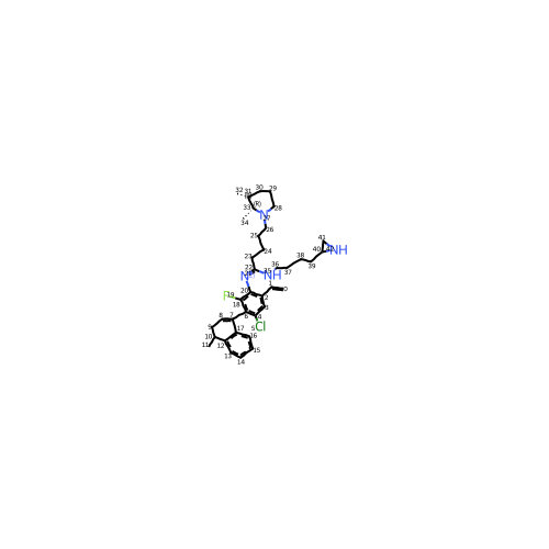 C=Cc1cc(Cl)c(C2=CCC(C)c3ccccc32)c(F)c1/N=C(/CCCCN1CCC[C@@H](C)[C@H]1C)NCCCCC1CN1